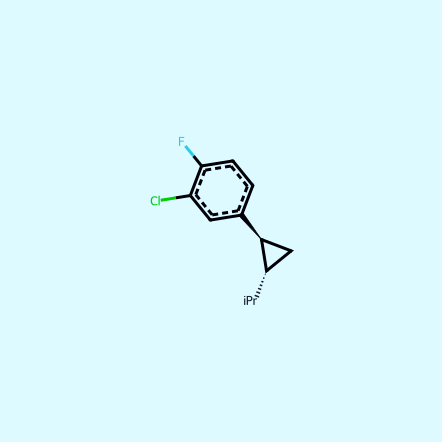 CC(C)[C@H]1C[C@@H]1c1ccc(F)c(Cl)c1